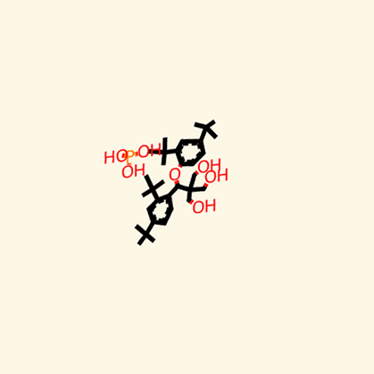 CC(C)(C)c1ccc(OC(c2ccc(C(C)(C)C)cc2C(C)(C)C)C(CO)(CO)CO)c(C(C)(C)C)c1.OP(O)O